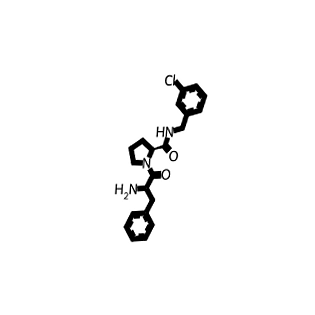 NC(Cc1ccccc1)C(=O)N1CCC[C@H]1C(=O)NCc1cccc(Cl)c1